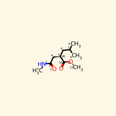 CNC(=O)C[C@@H](CC(C)C)C(=O)OC